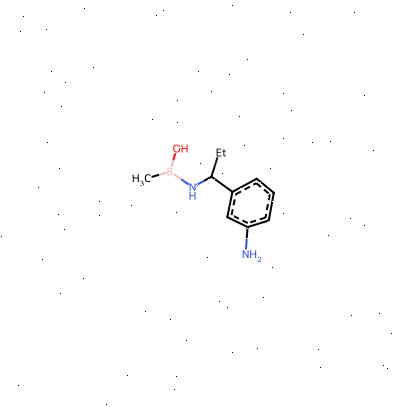 CCC(NB(C)O)c1cccc(N)c1